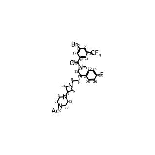 CC(=O)N1CCN(C2CN(CC[C@H](CN(C)C(=O)c3cc(Br)cc(C(F)(F)F)c3)c3ccc(F)cc3)C2)CC1